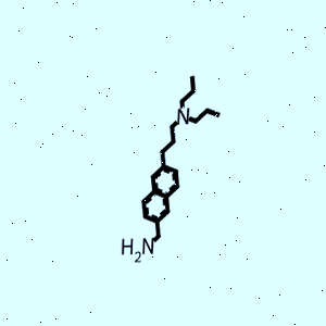 CCCN(CCC)CCCc1ccc2cc(CN)ccc2c1